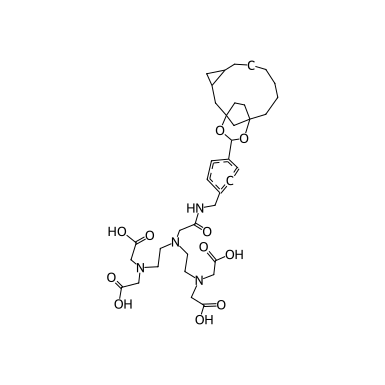 O=C(O)CN(CCN(CCN(CC(=O)O)CC(=O)O)CC(=O)NCc1ccc(C2OC34CCCCCCC5CC5CC(CC3)(C4)O2)cc1)CC(=O)O